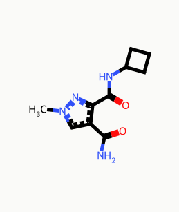 Cn1cc(C(N)=O)c(C(=O)NC2CCC2)n1